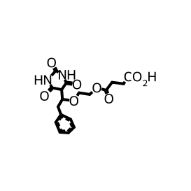 O=C(O)CCC(=O)OCCOC(Cc1ccccc1)C1C(=O)NC(=O)NC1=O